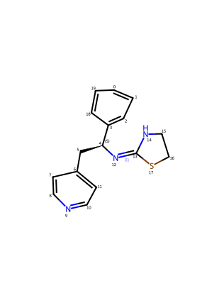 c1ccc([C@H](Cc2ccncc2)/N=C2\NCCS2)cc1